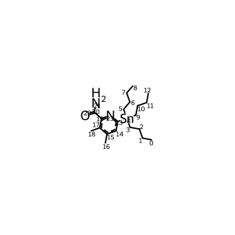 CCC[CH2][Sn]([CH2]CCC)([CH2]CCC)[c]1cc(C)c(C)c(C(N)=O)n1